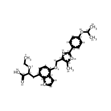 CCOC(Cc1ccc(OCc2nc(-c3ccc(OC(C)C)cc3)oc2C)c2ccoc12)C(=O)O